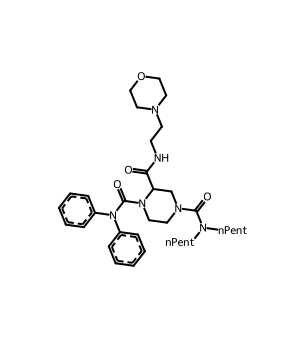 CCCCCN(CCCCC)C(=O)N1CCN(C(=O)N(c2ccccc2)c2ccccc2)C(C(=O)NCCN2CCOCC2)C1